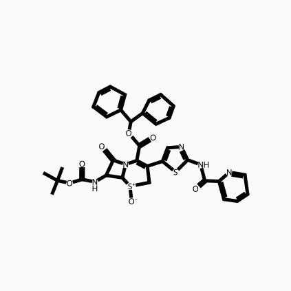 CC(C)(C)OC(=O)NC1C(=O)N2C(C(=O)OC(c3ccccc3)c3ccccc3)=C(c3cnc(NC(=O)c4ccccn4)s3)C[S+]([O-])C12